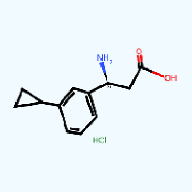 Cl.N[C@@H](CC(=O)O)c1cccc(C2CC2)c1